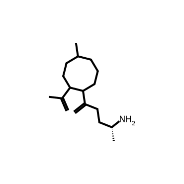 C=C(C)C1CCC(C)CCCC1C(=C)CC[C@@H](C)N